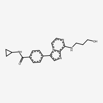 O=C(NC1CC1)c1ccc(-c2cnc3c(NCCCO)nccn23)cc1